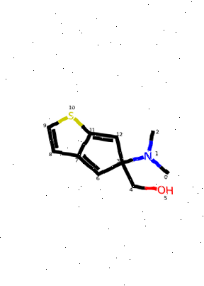 CN(C)C1(CO)C=c2ccsc2=C1